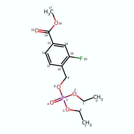 CCOP(=O)(OCC)OCc1ccc(C(=O)OC)cc1F